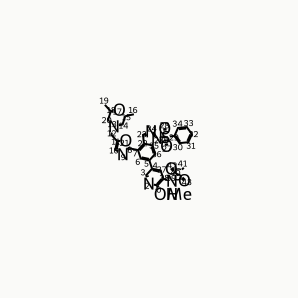 COc1ncc(-c2cc(-c3ncc(CN4CC(C)OC(C)C4)o3)c3cnn(S(=O)(=O)c4ccccc4)c3c2)cc1NS(C)(=O)=O